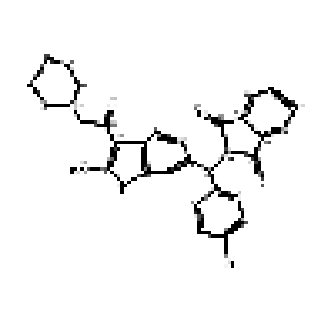 Cc1[nH]c2cc(C(c3ccc(Cl)cc3)N3C(=O)c4ccccc4C3=O)ccc2c1C(=O)CN1CCCCC1